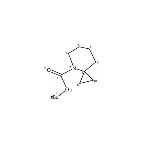 CC(C)(C)OC(=O)N1CCCCC12CC2